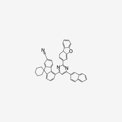 N#Cc1ccc2c(c1)C1(CCCCC1)c1cccc(-c3cc(-c4ccc5ccccc5c4)nc(C4=CCC5C(=C4)Oc4ccccc45)n3)c1-2